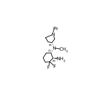 CC(C)N1CC[C@@H](N(C)[C@H]2CCCC(F)(F)[C@@H]2N)C1